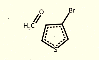 Brc1ccsc1.C=O